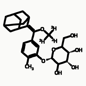 [2H]C([2H])([2H])OC(=C1C2CC3CC(C2)CC1C3)c1ccc(C)c(O[C@@H]2OC(CO)[C@H](O)[C@H](O)C2O)c1